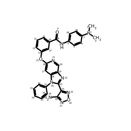 CN(C)c1ccc(NC(=O)c2cccc(Oc3cc4c(cn3)nc(-c3nonc3N)n4-c3ccccc3)c2)cc1